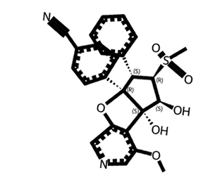 COc1cncc2c1[C@]1(O)[C@H](O)[C@H](S(C)(=O)=O)[C@@H](c3ccccc3)[C@]1(c1ccc(C#N)cc1)O2